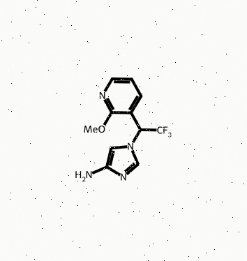 COc1ncccc1C(n1cnc(N)c1)C(F)(F)F